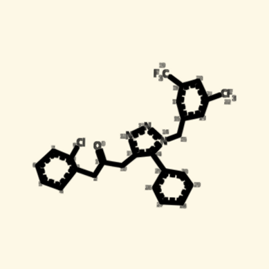 O=C(Cc1ccccc1Cl)Cc1nnn(Cc2cc(C(F)(F)F)cc(C(F)(F)F)c2)c1-c1ccccc1